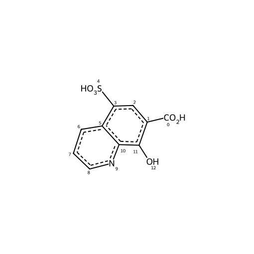 O=C(O)c1cc(S(=O)(=O)O)c2cccnc2c1O